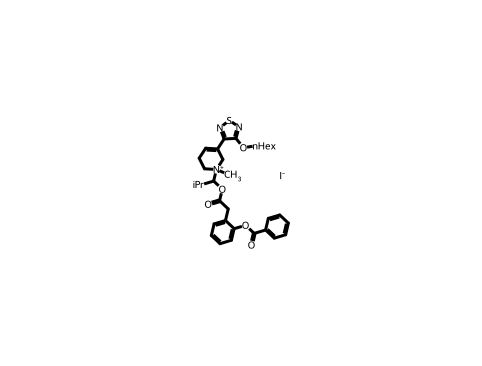 CCCCCCOc1nsnc1C1=CCC[N+](C)(C(OC(=O)Cc2ccccc2OC(=O)c2ccccc2)C(C)C)C1.[I-]